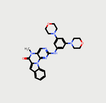 Cn1c(=O)c2cc3ccccc3n2c2nc(Nc3cc(N4CCOCC4)cc(N4CCOCC4)c3)ncc21